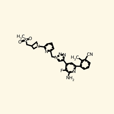 Cc1c(C#N)cccc1-c1cc(-c2cn(Cc3cccc(N4CC(CS(C)(=O)=O)C4)n3)nn2)c(F)c(N)n1